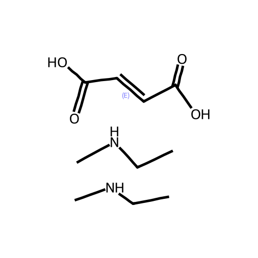 CCNC.CCNC.O=C(O)/C=C/C(=O)O